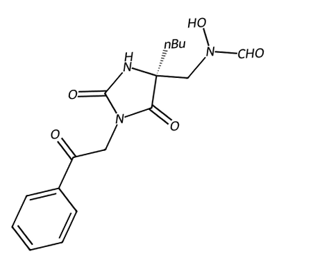 CCCC[C@@]1(CN(O)C=O)NC(=O)N(CC(=O)c2ccccc2)C1=O